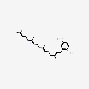 CC(C)=CCC/C(C)=C/CC/C(C)=C/CC/C(C)=C/Cc1cc(O)ccc1O